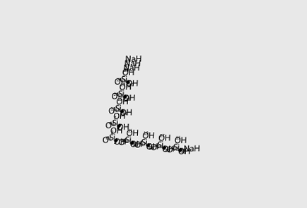 O=[Si](O)O.O=[Si](O)O.O=[Si](O)O.O=[Si](O)O.O=[Si](O)O.O=[Si](O)O.O=[Si](O)O.O=[Si](O)O.O=[Si](O)O.[NaH].[NaH].[NaH].[NaH]